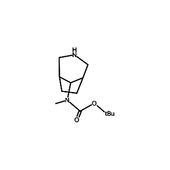 CN(C(=O)OC(C)(C)C)C1C2CCC1CNC2